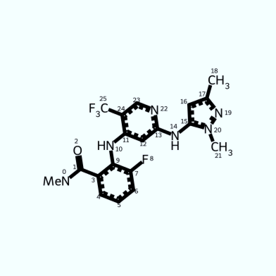 CNC(=O)c1cccc(F)c1Nc1cc(Nc2cc(C)nn2C)ncc1C(F)(F)F